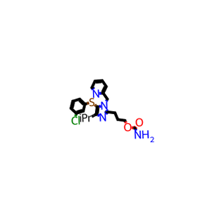 CC(C)c1nc(CCCOC(N)=O)n(Cc2ccccn2)c1Sc1cccc(Cl)c1